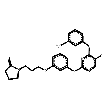 Nc1cccc(Oc2nc(Nc3cccc(OCCCN4CCCC4=O)c3)ncc2F)c1